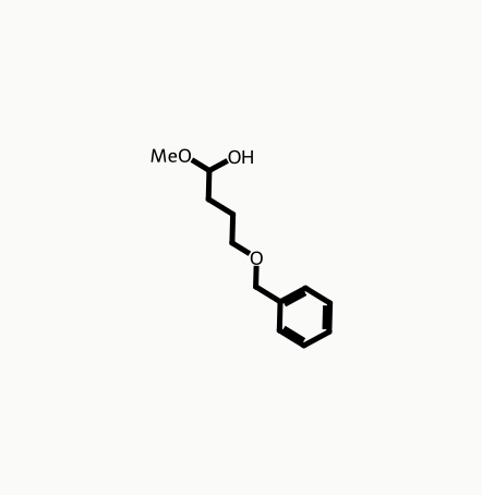 COC(O)CCCOCc1ccccc1